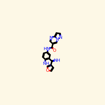 N=C(c1ccoc1)c1cc(NC(=O)c2cnc3ccnn3c2)ccc1N